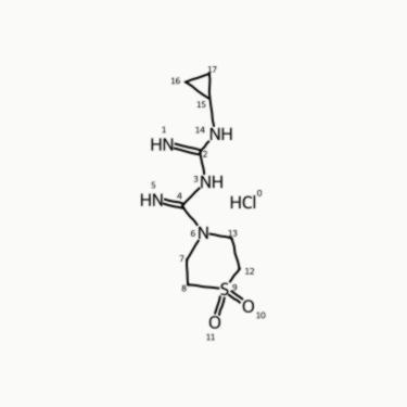 Cl.N=C(NC(=N)N1CCS(=O)(=O)CC1)NC1CC1